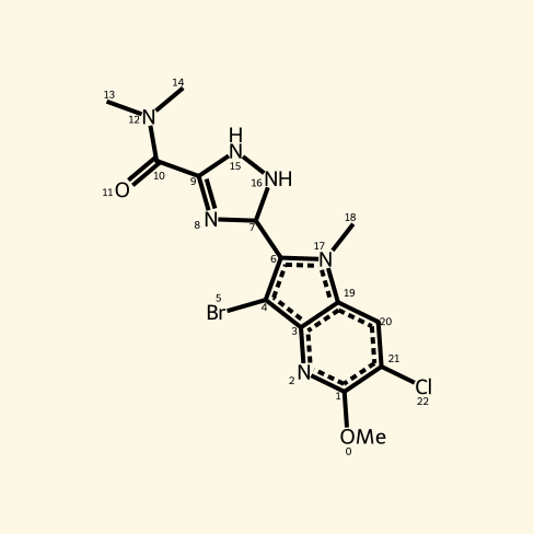 COc1nc2c(Br)c(C3N=C(C(=O)N(C)C)NN3)n(C)c2cc1Cl